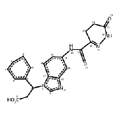 O=C(O)CC(c1ccccc1)n1cnc2cc(NC(=O)C3=NNC(=O)CC3)ccc21